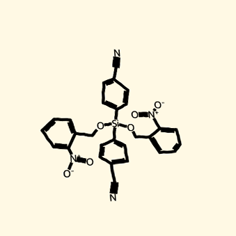 N#Cc1ccc([Si](OCc2ccccc2[N+](=O)[O-])(OCc2ccccc2[N+](=O)[O-])c2ccc(C#N)cc2)cc1